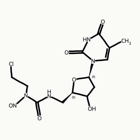 Cc1cn([C@H]2CC(O)[C@@H](CNC(=O)N(CCCl)N=O)O2)c(=O)[nH]c1=O